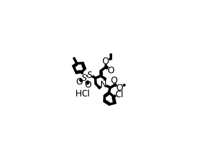 CCOC(=O)C=C1CN(C(C(=O)OC)c2ccccc2Cl)CCC1SS(=O)(=O)c1ccc(C)cc1.Cl